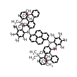 [2H]c1c([2H])c([2H])c(N(c2ccc(-c3ccccc3[Si](C)(C)C)c(-c3ccccc3[Si](C)(C)C)c2F)c2ccc3ccc4c(N(c5ccc(-c6ccccc6[Si](C)(C)C)c(-c6ccccc6[Si](C)(C)C)c5F)c5c([2H])c([2H])c([2H])c([2H])c5[2H])ccc5ccc2c3c54)c([2H])c1[2H]